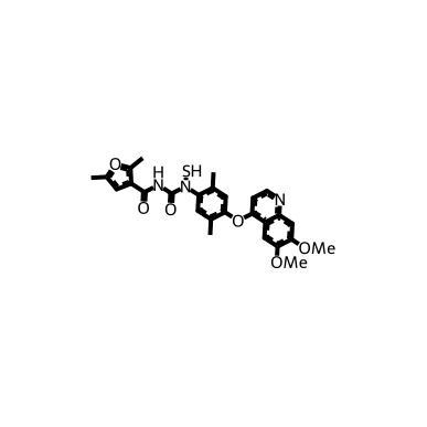 COc1cc2nccc(Oc3cc(C)c(N(S)C(=O)NC(=O)c4cc(C)oc4C)cc3C)c2cc1OC